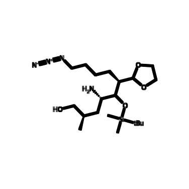 C[C@@H](CO)C[C@H](N)C(O[Si](C)(C)C(C)(C)C)[C@@H](CCCCN=[N+]=[N-])C1OCCO1